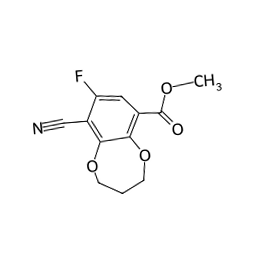 COC(=O)c1cc(F)c(C#N)c2c1OCCCO2